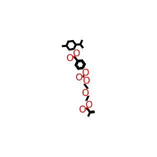 C=C(C)C(=O)OCCOCCOC(=O)Oc1ccc(C(=O)OC2CC(C)CCC2C(C)C)cc1